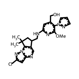 COc1nc(NCC2CC(C)(C)c3c2cnc2cc(Cl)nn32)cc(CO)c1-n1cccn1